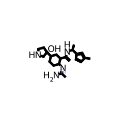 C=C(NC(C)C1=C=C(C)C=C1)C1CC(C2(O)CCNC2)CCC1/N=C(/C)N